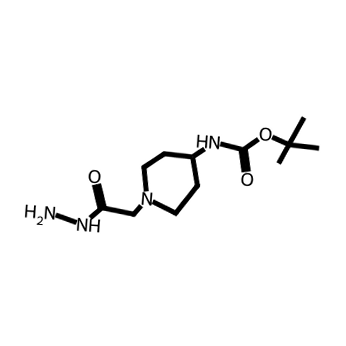 CC(C)(C)OC(=O)NC1CCN(CC(=O)NN)CC1